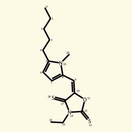 CCCCCc1ccc(C=C2OC(=S)N(CC)C2=S)n1C